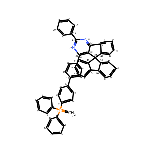 C=P(c1ccccc1)(c1ccccc1)c1ccc(-c2ccc(-c3nc(-c4ccccc4)nc4c3C3(c5ccccc5-c5ccccc53)c3ccccc3-4)cc2)cc1